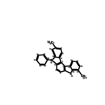 Cc1ccc2c3c4c(ccc3n(-c3ccccc3)c2c1)sc1c(C)cccc14